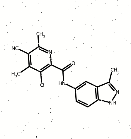 Cc1nc(C(=O)Nc2ccc3[nH]nc(C)c3c2)c(Cl)c(C)c1C#N